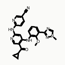 COc1c(Nc2cc(Nc3ccc(C#N)cn3)ncc2C(=O)C2CC2)cccc1-c1ncn(C)n1